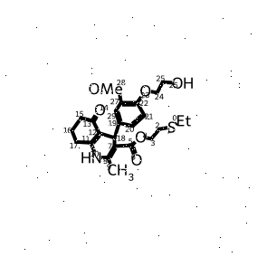 CCSCCOC(=O)C1=C(C)NC2=C(C(=O)CCC2)C1c1ccc(OCCO)c(OC)c1